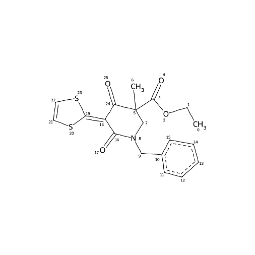 CCOC(=O)C1(C)CN(Cc2ccccc2)C(=O)C(=C2SC=CS2)C1=O